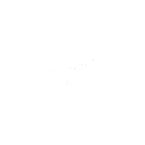 CCCCCCCCCCCCCOP(=O)(OCCCC)OCCCC